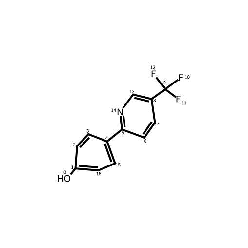 Oc1ccc(-c2ccc(C(F)(F)F)cn2)cc1